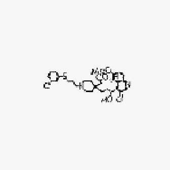 COc1ccc2ncc(Cl)c(C(O)CCC3(CC(=O)O)CCN(CCCSc4cccc(Cl)c4)CC3)c2c1